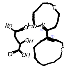 C1=C(/C2=N\NCCCCCCCC2)CCCCCCCCC/1.O=C(O)CC(O)C(=O)O